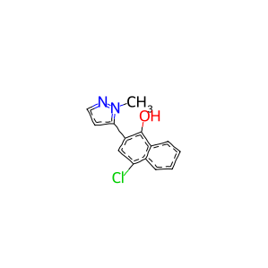 Cn1nccc1-c1cc(Cl)c2ccccc2c1O